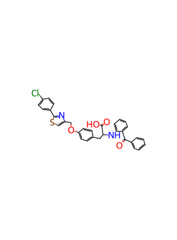 O=C(c1ccccc1)c1ccccc1NC(Cc1ccc(OCc2csc(-c3ccc(Cl)cc3)n2)cc1)C(=O)O